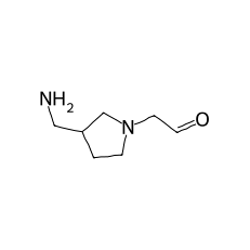 NCC1CCN(CC=O)C1